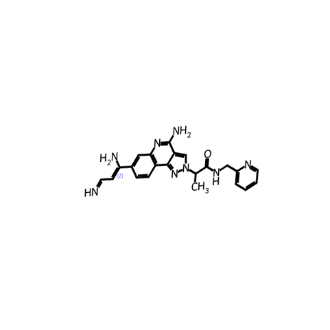 CC(C(=O)NCc1ccccn1)n1cc2c(N)nc3cc(/C(N)=C/C=N)ccc3c2n1